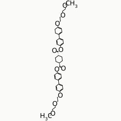 COCCOCCOC1=CC=C(c2ccc(OC(=O)[C@H]3CC[C@H](C(=O)Oc4ccc(-c5ccc(OCCOCCOC)cc5)cc4)CC3)cc2)CC1